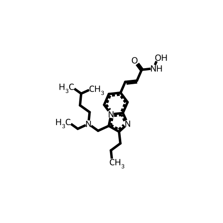 CCCc1nc2cc(C=CC(=O)NO)ccn2c1CN(CC)CCC(C)C